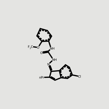 CCCC1=Cc2cc(Cl)ccc2C1=NNC(=O)Nc1ccccc1OC(F)(F)F